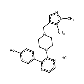 CC(=O)c1ccc(-c2nccnc2N2CCN(Cc3cnn(C)c3C)CC2)cc1.Cl